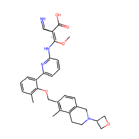 CO/C(Nc1cccc(-c2cccc(C)c2OCc2ccc3c(c2C)CCN(C2COC2)C3)n1)=C(/C=N)C(=O)O